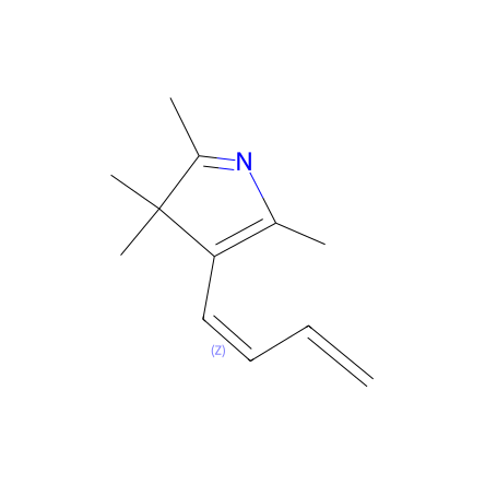 C=C/C=C\C1=C(C)N=C(C)C1(C)C